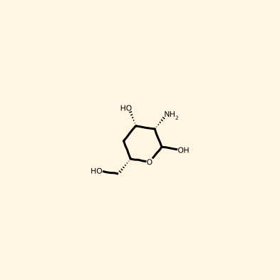 N[C@@H]1C(O)O[C@H](CO)C[C@@H]1O